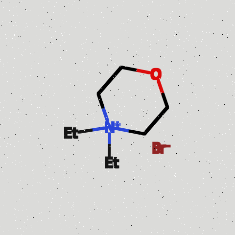 CC[N+]1(CC)CCOCC1.[Br-]